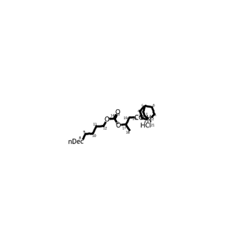 C1CN2CCC1CC2.CCCCCCCCCCCCCCOC(=O)OC(C)CC(=O)O.Cl